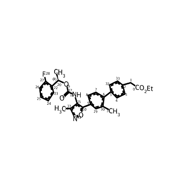 CCOC(=O)Cc1ccc(-c2ccc(-c3onc(C)c3NC(=O)O[C@H](C)c3ccccc3F)cc2C)cc1